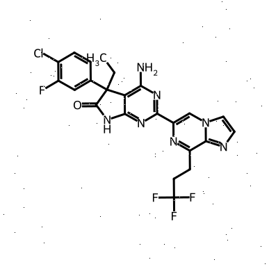 CCC1(c2ccc(Cl)c(F)c2)C(=O)Nc2nc(-c3cn4ccnc4c(CCC(F)(F)F)n3)nc(N)c21